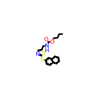 CCCCOC(=O)NCc1cnc(Sc2ccc3ccccc3c2)s1